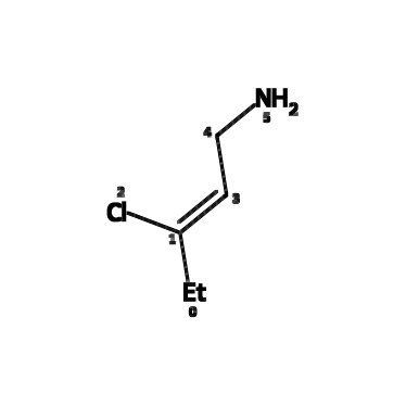 CCC(Cl)=CCN